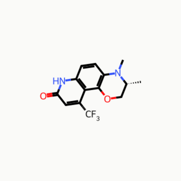 C[C@@H]1COc2c(ccc3[nH]c(=O)cc(C(F)(F)F)c23)N1C